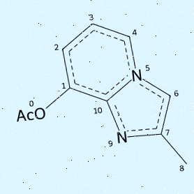 CC(=O)Oc1cccn2cc(C)nc12